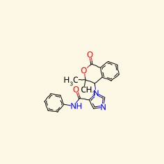 CC1(C)OC(=O)c2ccccc2C1n1cncc1C(=O)Nc1ccccc1